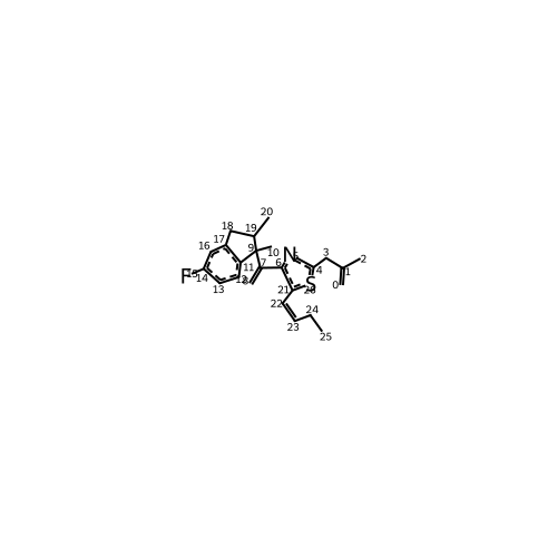 C=C(C)Cc1nc(C(=C)C2(C)c3ccc(F)cc3CC2C)c(/C=C\CC)s1